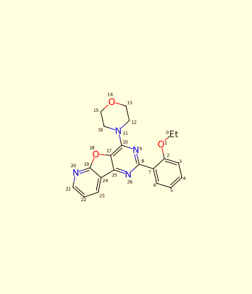 CCOc1ccccc1-c1nc(N2CCOCC2)c2oc3ncccc3c2n1